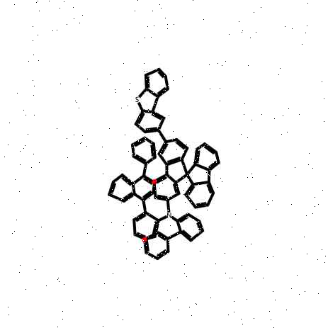 c1ccc(-c2ccccc2N(c2ccc3c(c2)C2(c4ccccc4-c4ccccc42)c2ccc(-c4ccc5sc6ccccc6c5c4)cc2-3)c2ccccc2-c2ccc(-c3ccccc3)c3ccccc23)cc1